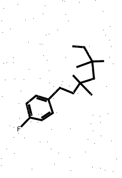 CCC(C)(C)CC(C)(C)CCc1ccc(F)cc1